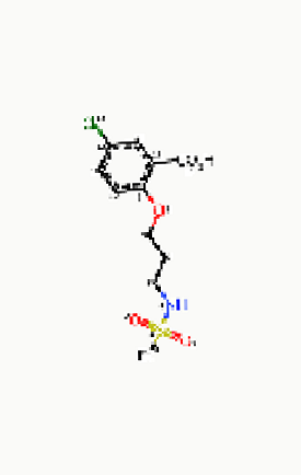 CCS(=O)(=O)NCCCOc1ccc(Cl)cc1C(=O)O